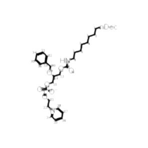 CCCCCCCCCCCCCCCCCCNC(=O)OCC(COP(=O)([O-])OCC[n+]1ccccc1)OCc1ccccc1